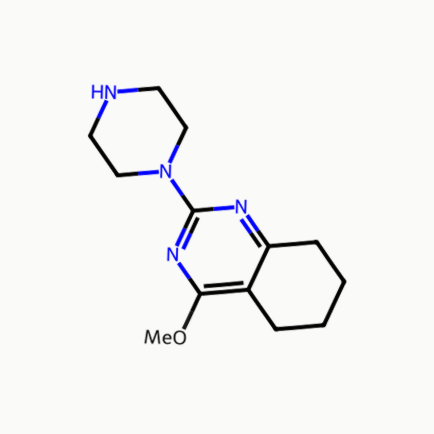 COc1nc(N2CCNCC2)nc2c1CCCC2